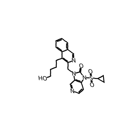 O=c1n(Cc2ncc3ccccc3c2CCCCO)c2cnccc2n1S(=O)(=O)C1CC1